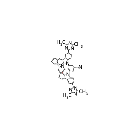 Cc1nc(C)nc(-c2ccc3c(c2)c2ccccc2n3-c2cc(C#N)cc(-n3c4ccccc4c4cc(-c5nc(C)nc(C)n5)ccc43)c2-c2cccc(-c3ccccc3)n2)n1